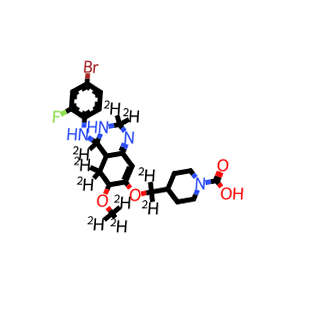 [2H]C1([2H])N=C2C=C(OC([2H])([2H])C3CCN(C(=O)O)CC3)C(OC([2H])([2H])[2H])C([2H])([2H])C2C([2H])(Nc2ccc(Br)cc2F)N1